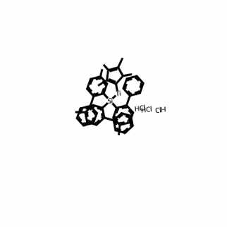 CC1=C(C)C(C)[C]([Ti][Si](c2cc(C)ccc2-c2ccccc2)(c2cc(C)ccc2-c2ccccc2)c2cc(C)ccc2-c2ccccc2)=C1C.Cl.Cl.Cl